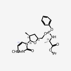 CNC(=O)N(/C=C\C=O)[C@@H]1O[C@H](COP(N[C@@H](C)C(=O)OC(C)C)Oc2ccccc2)C[C@@H]1C